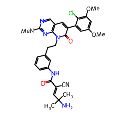 CNc1ncc2cc(-c3cc(OC)cc(OC)c3Cl)c(=O)n(CCc3cccc(NC(=O)/C(C#N)=C/C(C)(C)N)c3)c2n1